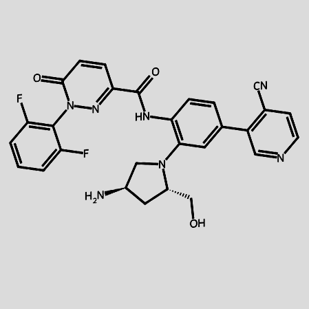 N#Cc1ccncc1-c1ccc(NC(=O)c2ccc(=O)n(-c3c(F)cccc3F)n2)c(N2C[C@H](N)C[C@H]2CO)c1